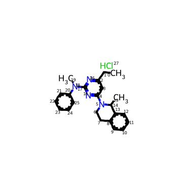 CCc1cc(N2CCc3ccccc3C2C)nc(N(C)c2ccccc2)n1.Cl